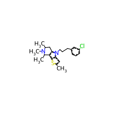 Cc1cc2c(s1)c1c(n2CCCc2cccc(Cl)c2)CC(C)N(C)C1C